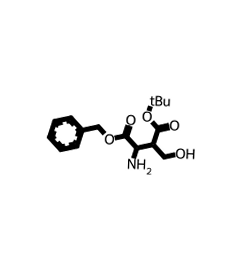 CC(C)(C)OC(=O)C(CO)C(N)C(=O)OCc1ccccc1